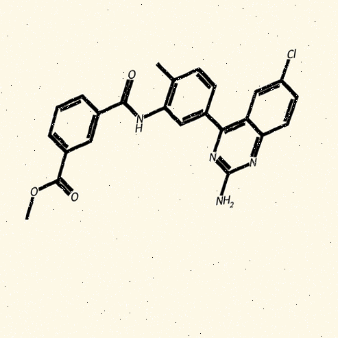 COC(=O)c1cccc(C(=O)Nc2cc(-c3nc(N)nc4ccc(Cl)cc34)ccc2C)c1